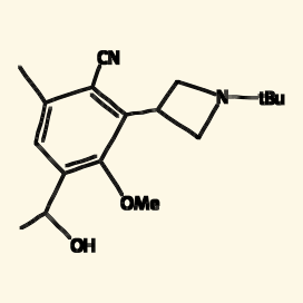 COc1c(C(C)O)cc(C)c(C#N)c1C1CN(C(C)(C)C)C1